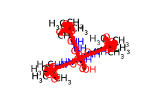 CC(=O)OC[C@H]1O[C@@H](OCCCCCNCCCNC(=O)CCOCC(COCCC(=O)NCCCNCCCCCO[C@@H]2O[C@H](COC(C)=O)[C@@H](OC(C)=O)[C@H](OC(C)=O)[C@H]2OC(C)=O)(COCCC(=O)NCCCNC(=O)CCCCO[C@@H]2O[C@H](COC(C)=O)[C@@H](OC(C)=O)[C@H](OC(C)=O)[C@H]2OC(C)=O)NC(=O)CCCC(=O)O)[C@H](OC(C)=O)[C@@H](OC(C)=O)[C@@H]1OC(C)=O